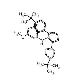 COc1cc(Br)cc(Nc2c(-c3ccc(C(C)(C)C)cc3)cccc2-c2ccc(C(C)(C)C)cc2)c1